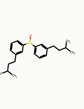 CC(C)CCc1cccc([S+]([O-])c2cccc(CCC(C)C)c2)c1